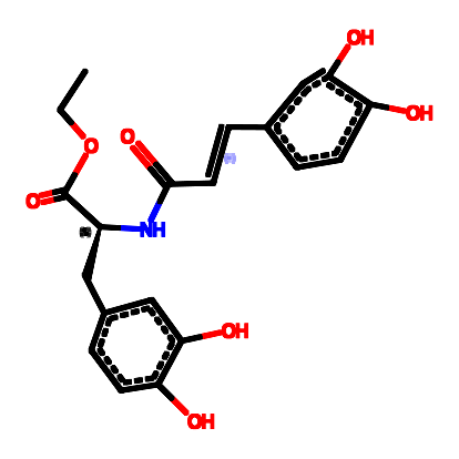 CCOC(=O)[C@H](Cc1ccc(O)c(O)c1)NC(=O)/C=C/c1ccc(O)c(O)c1